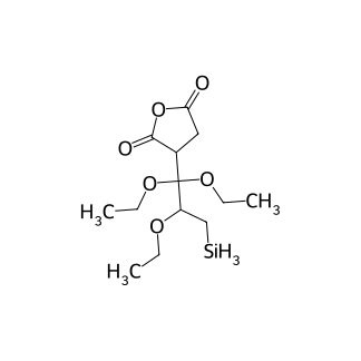 CCOC(C[SiH3])C(OCC)(OCC)C1CC(=O)OC1=O